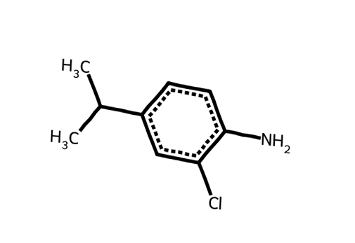 CC(C)c1ccc(N)c(Cl)c1